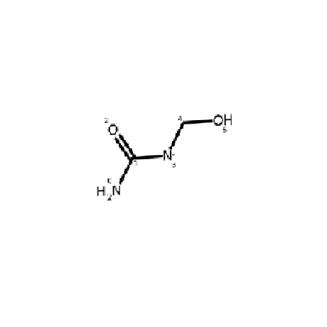 NC(=O)[N]CO